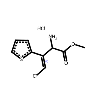 COC(=O)C(N)/C(=C/Cl)c1cccs1.Cl